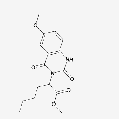 CCCCC(C(=O)OC)n1c(=O)[nH]c2ccc(OC)cc2c1=O